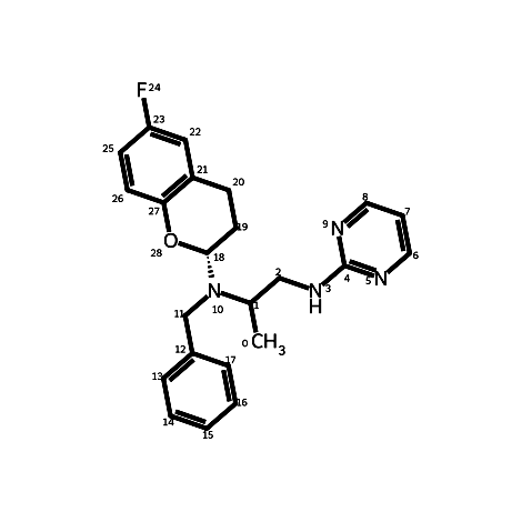 CC(CNc1ncccn1)N(Cc1ccccc1)[C@H]1CCc2cc(F)ccc2O1